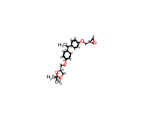 C=C(c1ccc(OC[C@H]2CO2)cc1)c1ccc(OC[C@H]2COC(C)(C)O2)cc1